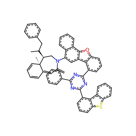 C=C1C=C2C=CC=C[C@@]2(C)[C@@H](C(C)Cc2ccccc2)CN1c1cc2c(oc3cccc(-c4nc(-c5ccccc5)nc(-c5cccc6sc7ccccc7c56)n4)c32)c2ccccc12